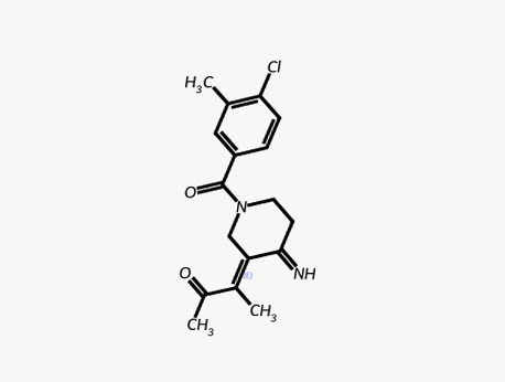 CC(=O)/C(C)=C1\CN(C(=O)c2ccc(Cl)c(C)c2)CCC1=N